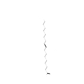 CCCCCCCCC=CCCCCCCCC(=O)O.[CaH2]